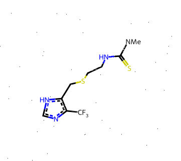 CNC(=S)NCCSCc1[nH]cnc1C(F)(F)F